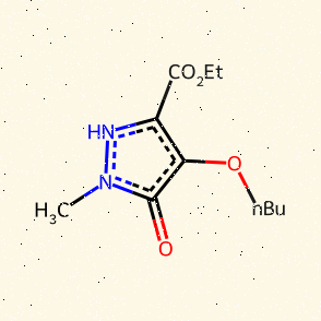 CCCCOc1c(C(=O)OCC)[nH]n(C)c1=O